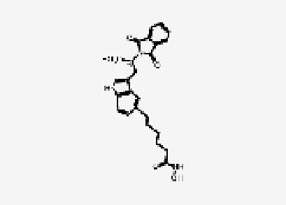 O=C(CCCCCc1ccc2[nH]cc(C[C@@H](C(=O)O)N3C(=O)c4ccccc4C3=O)c2c1)NO